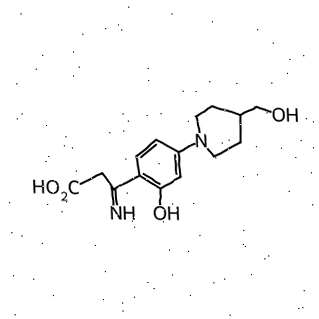 N=C(CC(=O)O)c1ccc(N2CCC(CO)CC2)cc1O